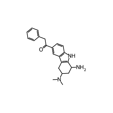 CN(C)C1Cc2c([nH]c3ccc(C(=O)Cc4ccccc4)cc23)C(N)C1